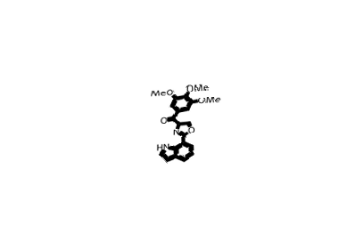 COc1cc(C(=O)C2COC(c3cccc4cc[nH]c34)=N2)cc(OC)c1OC